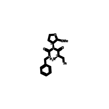 COC1OCC[C@@H]1N(C(=O)OCc1ccccc1)C(=O)[C@@H](N)CC(C)C